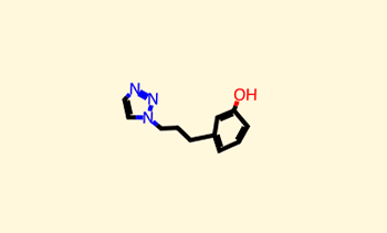 Oc1cccc(CCCn2ccnn2)c1